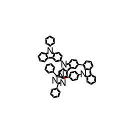 c1ccc(-c2nc(-c3ccccc3)nc(-c3ccc(-n4c5ccccc5c5cccc(-c6ccc7c(c6)c6ccccc6n7-c6ccc7c(c6)c6ccccc6n7-c6ccccc6)c54)cc3)n2)cc1